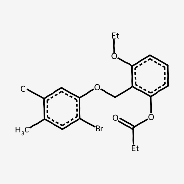 CCOc1cccc(OC(=O)CC)c1COc1cc(Cl)c(C)cc1Br